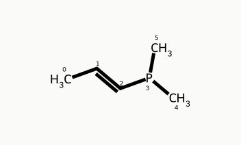 CC=CP(C)C